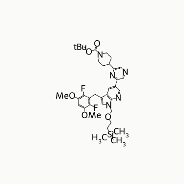 COc1cc(OC)c(F)c(Cc2cn(COCC[Si](C)(C)C)c3ncc(-c4cncc(C5CCN(C(=O)OC(C)(C)C)CC5)n4)cc23)c1F